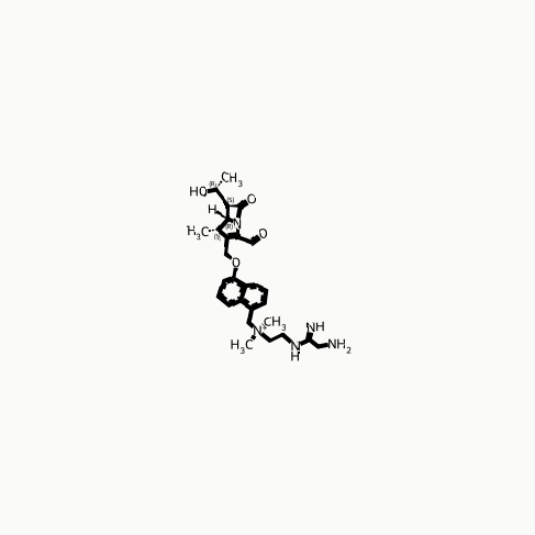 C[C@@H](O)[C@H]1C(=O)N2C(C=O)=C(COc3cccc4c(C[N+](C)(C)CCNC(=N)CN)cccc34)[C@H](C)[C@H]12